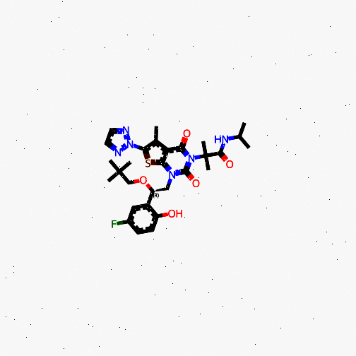 Cc1c(-n2nccn2)sc2c1c(=O)n(C(C)(C)C(=O)NC(C)C)c(=O)n2C[C@H](OCC(C)(C)C)c1cc(F)ccc1O